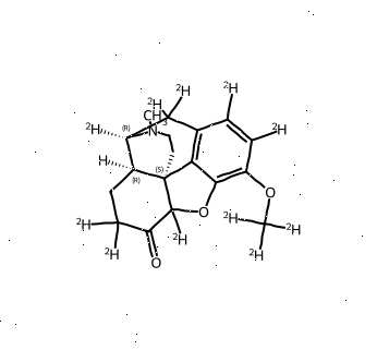 [2H]c1c([2H])c2c3c(c1OC([2H])([2H])[2H])OC1([2H])C(=O)C([2H])([2H])C[C@@H]4[C@@]31CCN(C)[C@]4([2H])C2([2H])[2H]